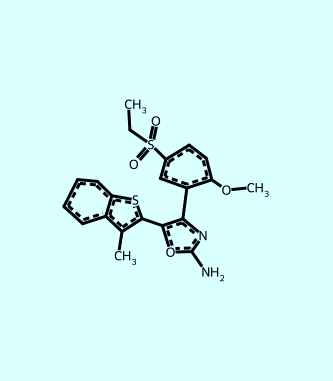 CCS(=O)(=O)c1ccc(OC)c(-c2nc(N)oc2-c2sc3ccccc3c2C)c1